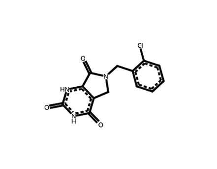 O=C1c2[nH]c(=O)[nH]c(=O)c2CN1Cc1ccccc1Cl